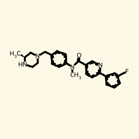 C[C@H]1CN(Cc2ccc(N(C)C(=O)c3ccc(-c4cccc(F)c4)nc3)cc2)CCN1